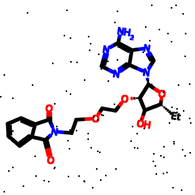 CC[C@H]1O[C@@H](n2cnc3c(N)ncnc32)[C@@H](OCCOCCN2C(=O)c3ccccc3C2=O)C1O